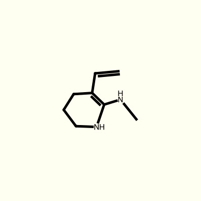 C=CC1=C(NC)NCCC1